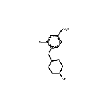 CCCCN1CCC(Oc2ccc(C(=O)O)cc2F)CC1